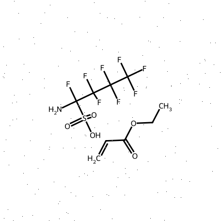 C=CC(=O)OCC.NC(F)(C(F)(F)C(F)(F)C(F)(F)F)S(=O)(=O)O